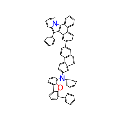 c1ccc(-c2cccc3c2oc2c(N(c4ccccc4)c4ccc5c(ccc6cc(-c7ccc8c9ccccc9c9c(c(-c%10ccccc%10)c%10ccccn%109)c8c7)ccc65)c4)cccc23)cc1